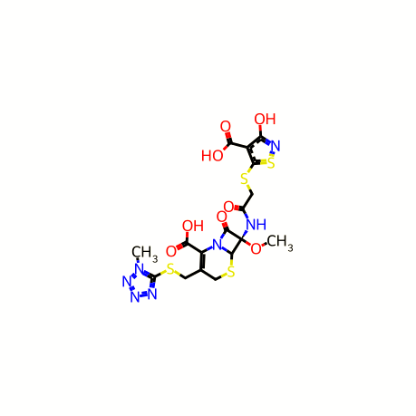 CO[C@@]1(NC(=O)CSc2snc(O)c2C(=O)O)C(=O)N2C(C(=O)O)=C(CSc3nnnn3C)CSC21